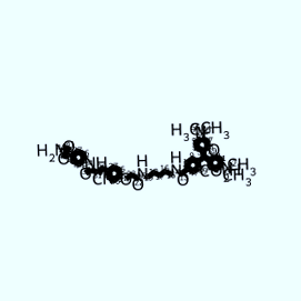 CN(C)c1ccc2c(-c3ccc(C(=O)NCCCCCNC(=O)COc4ccc(/C=C(\C#N)C(=O)Nc5ccc(S(N)(=O)=O)cc5)cc4)cc3C(=O)O)c3ccc(=[N+](C)C)cc-3oc2c1